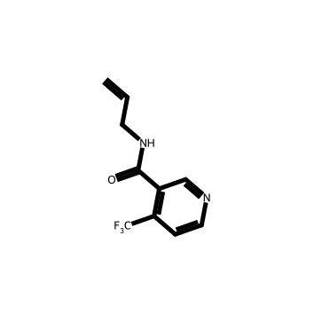 C=CCNC(=O)c1cnccc1C(F)(F)F